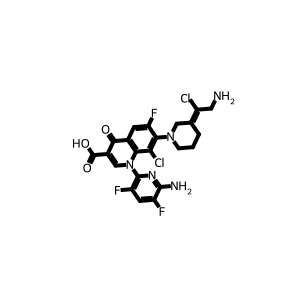 NC/C(Cl)=C1\CCCN(c2c(F)cc3c(=O)c(C(=O)O)cn(-c4nc(N)c(F)cc4F)c3c2Cl)C1